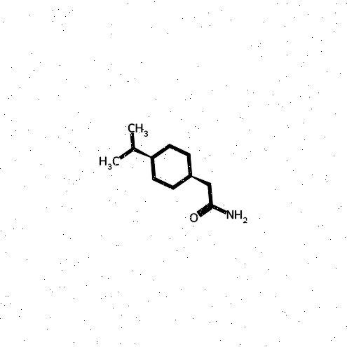 CC(C)[C@H]1CC[C@@H](CC(N)=O)CC1